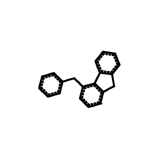 [c]1ccc(Cc2ccccc2)c2c1Cc1ccccc1-2